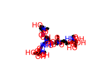 CCC(=O)N1C[C@H](O)C[C@H]1COP(=O)(O)C[C@@H]1C[C@@H](COP(=O)(O)O[C@@H]2C[C@@H](COC)N(C(=O)CC(C)(C)CC(C)COC3OC(CO)C(O)C(O)C3NC(C)=O)C2)N(C(=O)CNCCOC2OC(CO)C(O)C(O)C2NC(C)=O)C1